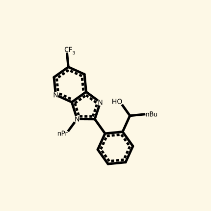 CCCCC(O)c1ccccc1-c1nc2cc(C(F)(F)F)cnc2n1CCC